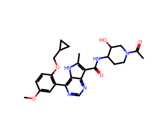 COc1ccc(OCC2CC2)c(-c2ncnc3c(C(=O)NC4CCN(C(C)=O)CC4O)c(C)[nH]c23)c1